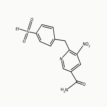 CCS(=O)(=O)c1ccc(Cc2ncc(C(N)=O)cc2[N+](=O)[O-])cc1